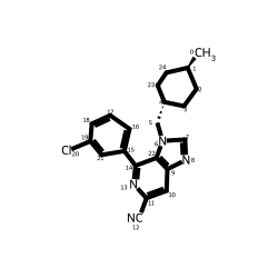 C[C@H]1CC[C@H](Cn2cnc3cc(C#N)nc(-c4cccc(Cl)c4)c32)CC1